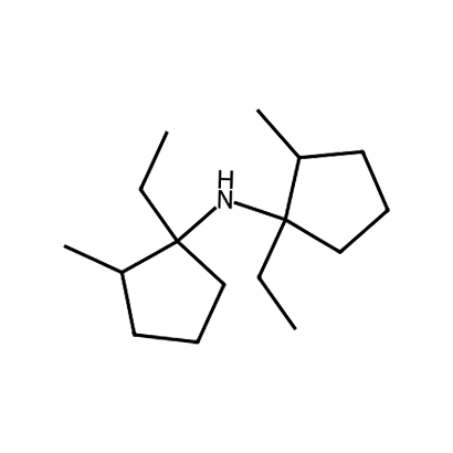 CCC1(NC2(CC)CCCC2C)CCCC1C